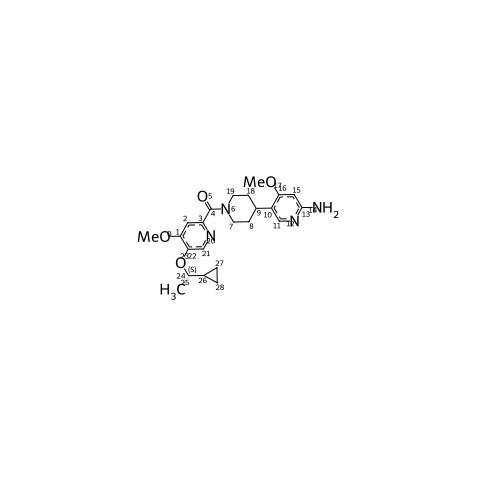 COc1cc(C(=O)N2CCC(c3cnc(N)cc3OC)CC2)ncc1O[C@@H](C)C1CC1